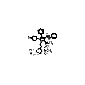 CC(C)c1c(C(=O)Nc2ccccc2)c(-c2ccccc2)c(-c2ccc(F)cc2)n1CCC1OC(C)(C)O[CH][C@H]1C(C)(C)C